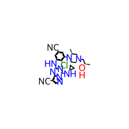 C[C@@H](O)CN1CCN(c2cc(C#N)cc(Nc3nc(NC4CC4)n4ncc(C#N)c4n3)c2Cl)[C@@H](C)C1